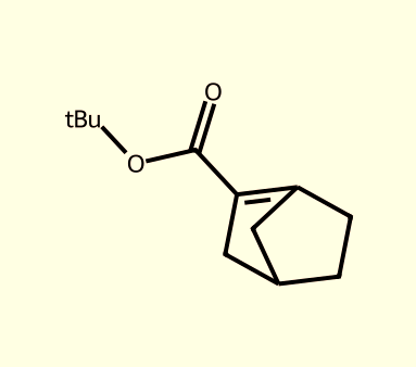 CC(C)(C)OC(=O)C1=C2CCC(C2)C1